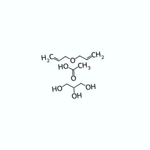 C=CCOCC=C.CC(=O)O.OCC(O)CO